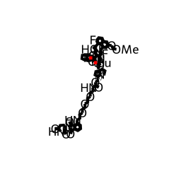 C#Cc1c(F)ccc2cc(OCOC)cc(-c3ncc4c(N5CC6CCC(C5)N6C(=O)OC(C)(C)C)nc(OC[C@]56CCCN5[C@@H](COC(=O)NCCOCCOCCOCCNc5cccc7c5C(=O)N(C5CCC(=O)NC5=O)C7=O)CC6)nc4c3F)c12